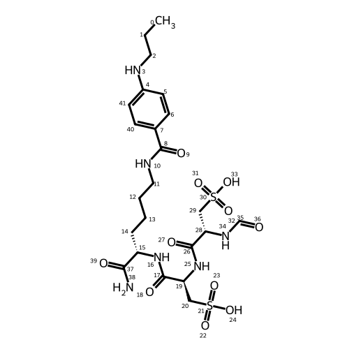 CCCNc1ccc(C(=O)NCCCC[C@H](NC(=O)[C@H](CS(=O)(=O)O)NC(=O)[C@H](CS(=O)(=O)O)NC=O)C(N)=O)cc1